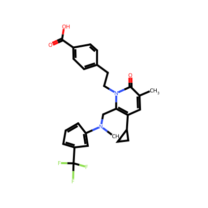 Cc1cc(C2CC2)c(CN(C)c2cccc(C(F)(F)F)c2)n(CCc2ccc(C(=O)O)cc2)c1=O